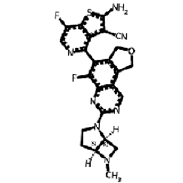 CN1C[C@H]2[C@@H]1CCN2c1ncc2c3c(c(-c4ncc(F)c5sc(N)c(C#N)c45)c(F)c2n1)COC3